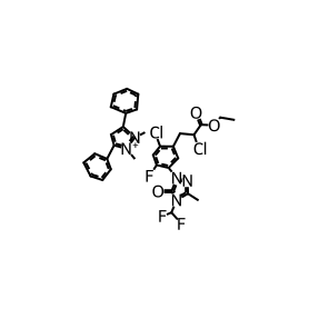 CCOC(=O)C(Cl)Cc1cc(-n2nc(C)n(C(F)F)c2=O)c(F)cc1Cl.Cn1c(-c2ccccc2)cc(-c2ccccc2)[n+]1C